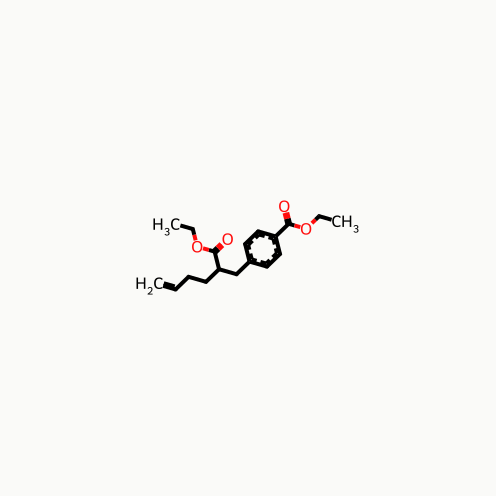 C=CCCC(Cc1ccc(C(=O)OCC)cc1)C(=O)OCC